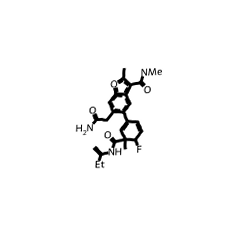 C=C(CC)NC(=O)C1(C)C=C(c2cc3c(C(=O)NC)c(C)oc3cc2CC(N)=O)C=CC1F